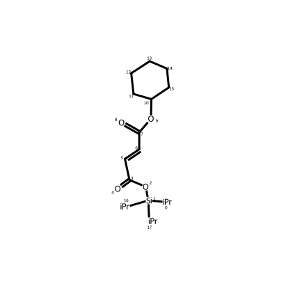 CC(C)[Si](OC(=O)C=CC(=O)OC1CCCCC1)(C(C)C)C(C)C